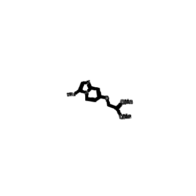 COC(COc1ccn2c(C(C)(C)C)cnc2c1)OC